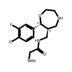 CNCC(=O)NC[C@@H]1CNCCO[C@H]1c1ccc(Cl)c(F)c1